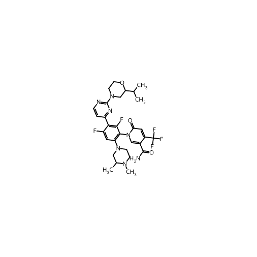 CC(C)C1CN(c2nccc(-c3c(F)cc(N4CCN(C)C(C)C4)c(-n4cc(C(N)=O)c(C(F)(F)F)cc4=O)c3F)n2)CCO1